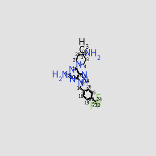 CC1(N)CCN(c2nc(N)nc3c2nnn3Cc2ccc(C(F)(F)F)cc2)CC1